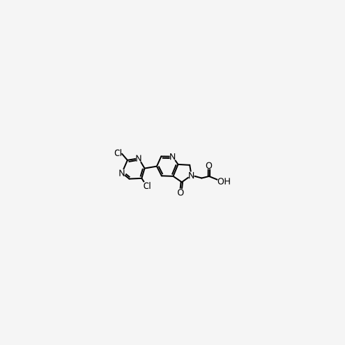 O=C(O)CN1Cc2ncc(-c3nc(Cl)ncc3Cl)cc2C1=O